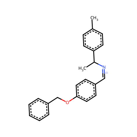 Cc1ccc(C(C)/N=C\c2ccc(OCc3ccccc3)cc2)cc1